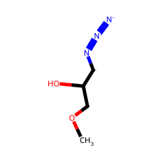 COCC(O)[CH]N=[N+]=[N-]